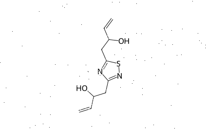 C=CC(O)Cc1nsc(CC(O)C=C)n1